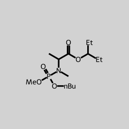 CCCCOP(=O)(OC)N(C)C(C)C(=O)OC(CC)CC